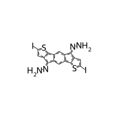 N/N=c1/c2cc3c(cc2c2sc(I)cc12)/c(=N/N)c1cc(I)sc13